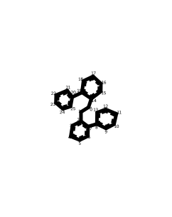 [CH](Cc1ccccc1-c1ccccc1)c1ccccc1-c1ccccc1